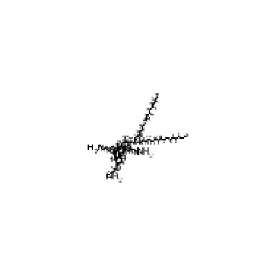 CCCCCCCCCCCCCCCCN(CCCCCCCCCCCCCCCC)CCC[C@@H](C)[C@H]1CC[C@H]2[C@@H]3[C@H](OCCCN)C[C@@H]4C[C@H](OCCCN)CC[C@]4(C)[C@H]3C[C@H](OCCCN)[C@]12C